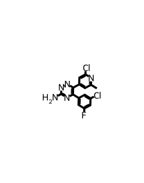 Cc1cc(-c2nnc(N)nc2-c2cc(F)cc(Cl)c2)cc(Cl)n1